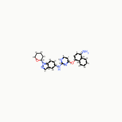 Nc1ccc(Oc2ccnc(Nc3ccc4c(cnn4C4CCCCO4)c3)n2)c2ccccc12